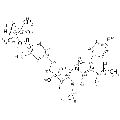 CNC(=O)c1c(-c2ccc(F)cc2)nn2cc(NS(=O)(=O)CCc3ccc(B4OC(C)(C)C(C)(C)O4)c(C)c3)c(C3CC3)cc12